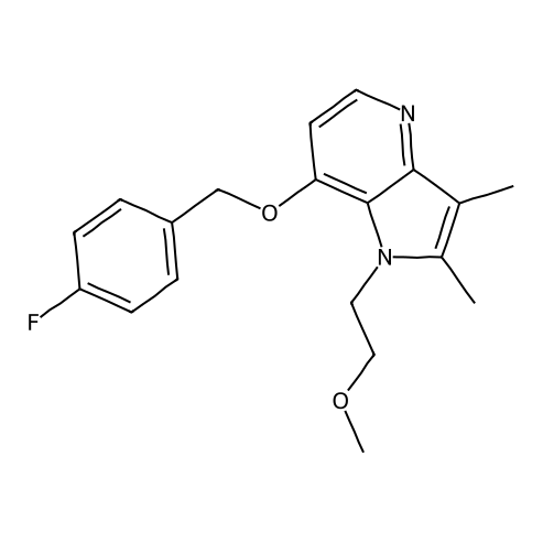 COCCn1c(C)c(C)c2nccc(OCc3ccc(F)cc3)c21